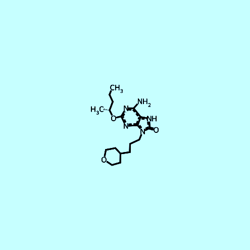 CCC[C@@H](C)Oc1nc(N)c2[nH]c(=O)n(CCCC3CCOCC3)c2n1